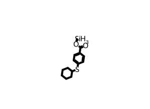 O=C(O[SiH3])c1ccc(SC2CCCCC2)cc1